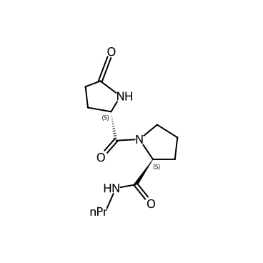 CCCNC(=O)[C@@H]1CCCN1C(=O)[C@@H]1CCC(=O)N1